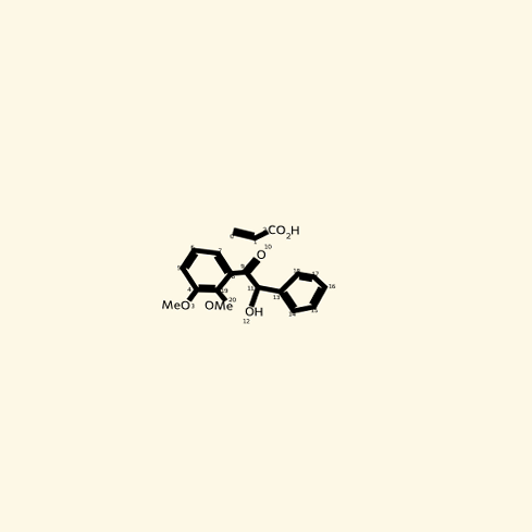 C=CC(=O)O.COc1cccc(C(=O)C(O)c2ccccc2)c1OC